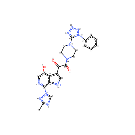 Cc1ncn(-c2ncc(O)c3c(C(=O)C(=O)N4CCN(c5nnnn5-c5ccccc5)CC4)c[nH]c23)n1